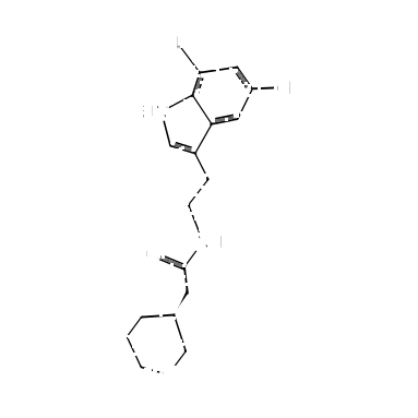 O=C(C[C@@H]1CCCOC1)NCCc1c[nH]c2c(I)cc(Cl)cc12